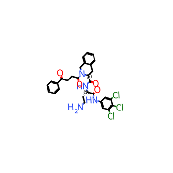 NCC[C@H](NC(=O)[C@@H]1Cc2ccccc2CN1C(=O)CCC(=O)c1ccccc1)C(=O)Nc1cc(Cl)c(Cl)c(Cl)c1